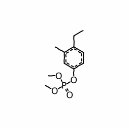 CCc1ccc(OP(=O)(OC)OC)cc1C